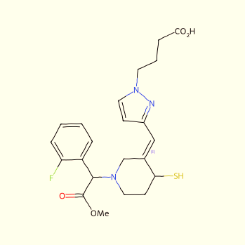 COC(=O)C(c1ccccc1F)N1CCC(S)/C(=C/c2ccn(CCCC(=O)O)n2)C1